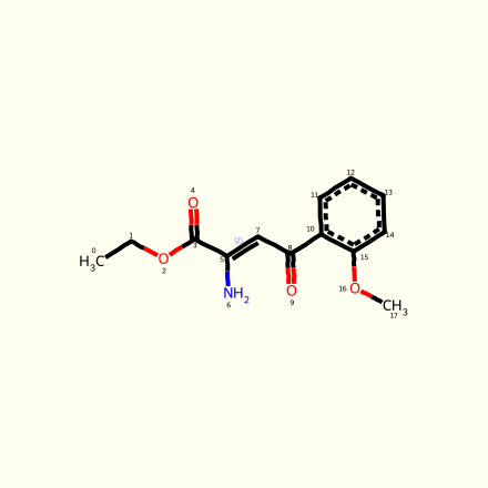 CCOC(=O)/C(N)=C/C(=O)c1ccccc1OC